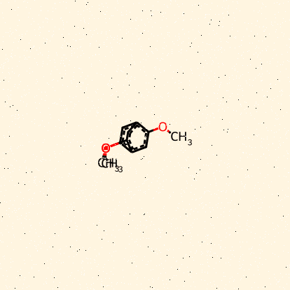 COc1cc2c(OC)cc1cc2OC